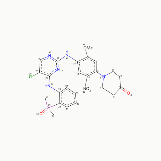 COc1cc(N2CCC(=O)CC2)c([N+](=O)[O-])cc1Nc1ncc(Cl)c(Nc2ccccc2P(C)(C)=O)n1